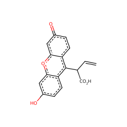 C=CC(C(=O)O)c1c2ccc(=O)cc-2oc2cc(O)ccc12